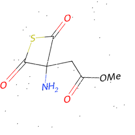 COC(=O)CC1(N)C(=O)SC1=O